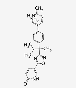 C=C(N)/N=C\C(=C/N)c1ccc(C(C)(c2noc(-c3ccc(=O)[nH]c3)n2)C(C)C)cc1